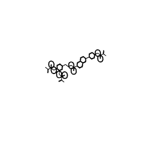 C=C(C)C(=O)Oc1ccc(-c2ccc3cc(C(=O)OCCc4ccc(OC(=O)C(=C)C)c(OC(=O)C(=C)C)c4)ccc3c2)cc1